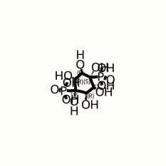 O=P(O)(O)[C@]1(O)[C@H](O)[C@@H](O)[C@@](O)(P(=O)(O)O)[C@@H](O)[C@H]1O